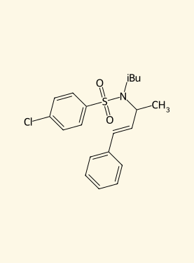 CCC(C)N(C(C)C=Cc1ccccc1)S(=O)(=O)c1ccc(Cl)cc1